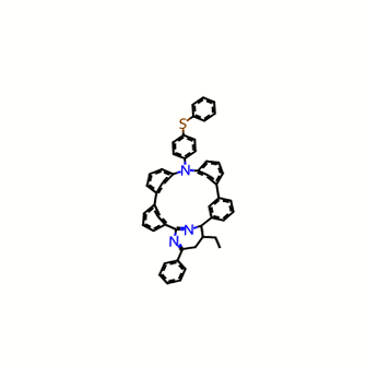 CCC1CC(c2ccccc2)=NC2=NC1c1cccc(c1)-c1cccc(c1)N(c1ccc(Sc3ccccc3)cc1)c1cccc(c1)-c1cccc2c1